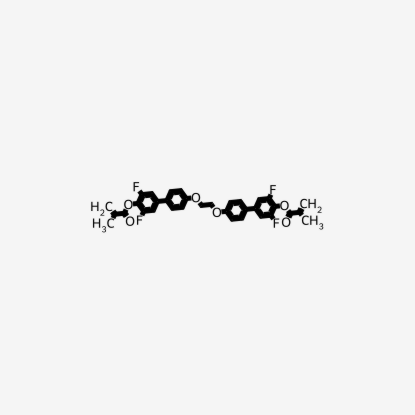 C=C(C)C(=O)Oc1c(F)cc(-c2ccc(OCCOc3ccc(-c4cc(F)c(OC(=O)C(=C)C)c(F)c4)cc3)cc2)cc1F